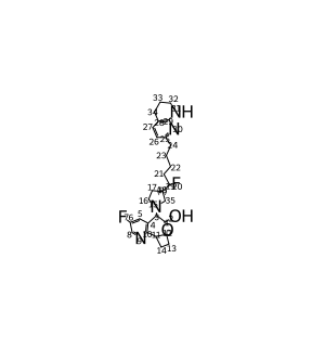 O=C(O)C(c1cc(F)cnc1C1CCC1)N1CC[C@@H](C(F)CCCCc2ccc3c(n2)NCCC3)C1